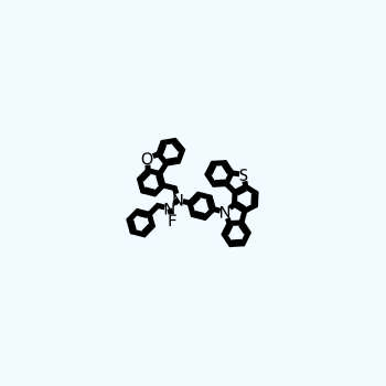 FN(Cc1ccccc1)N(Cc1cccc2oc3ccccc3c12)c1ccc(-n2c3ccccc3c3ccc4sc5ccccc5c4c32)cc1